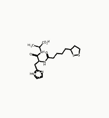 CC(NC(=O)C(Cc1ncc[nH]1)NC(=O)CCCCC1CCSS1)C(=O)O